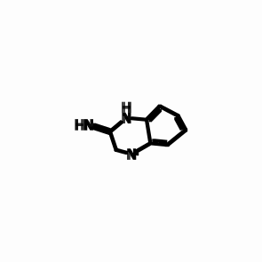 N=C1C[N]c2ccccc2N1